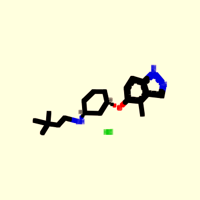 Cc1c(O[C@H]2CCC[C@@H](NCCC(C)(C)C)C2)ccc2[nH]ncc12.Cl